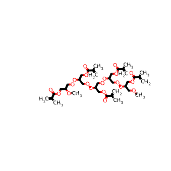 C=C(C)C(=O)OCC(COOC(COOC(COOC(COOC(COC)COC(=O)C(=C)C)COC(=O)C(=C)C)COC(=O)C(=C)C)COC(=O)C(=C)C)OC